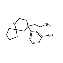 NCCC1(c2cccc(O)n2)CCOC2(CCCC2)C1